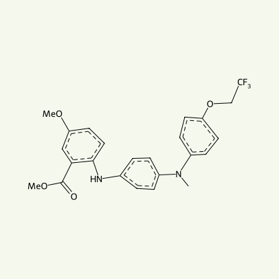 COC(=O)c1cc(OC)ccc1Nc1ccc(N(C)c2ccc(OCC(F)(F)F)cc2)cc1